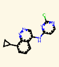 Clc1nccc(Nc2cnnc3c(C4CC4)cccc23)n1